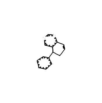 C1=Cc2ncncc2C(c2ccccc2)C1